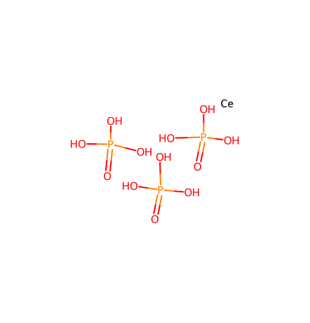 O=P(O)(O)O.O=P(O)(O)O.O=P(O)(O)O.[Ce]